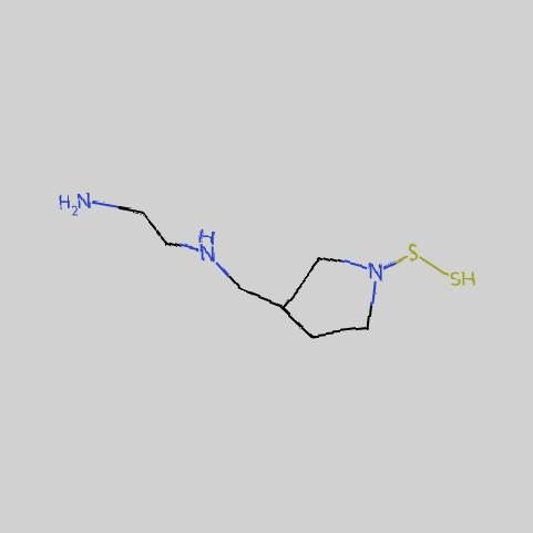 NCCNCC1CCN(SS)C1